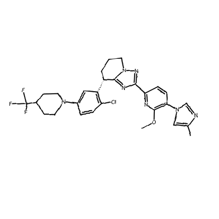 COc1nc(-c2nc3n(n2)CCC[C@H]3c2cc(N3CCC(C(F)(F)F)CC3)ccc2Cl)ccc1-n1cnc(C)c1